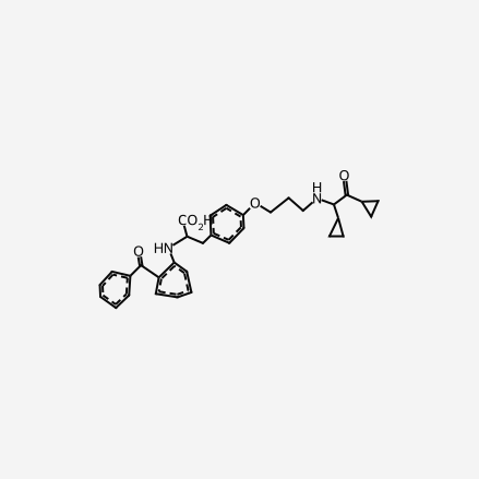 O=C(c1ccccc1)c1ccccc1NC(Cc1ccc(OCCCNC(C(=O)C2CC2)C2CC2)cc1)C(=O)O